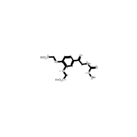 CCOC(=O)COc1ccc(C(=O)CNC(=O)OC(C)(C)C)cc1OCC(=O)OCC